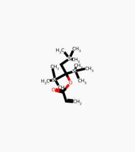 C=CC(=O)OC(C[Si](C)(C)C)([Si](C)(C)C)[Si](C)(C)C